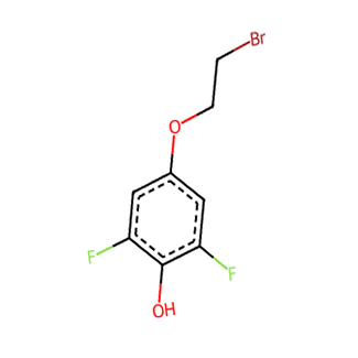 Oc1c(F)cc(OCCBr)cc1F